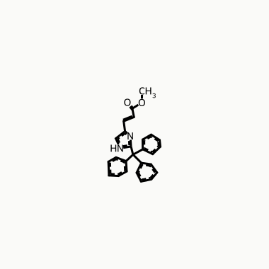 COC(=O)C=Cc1c[nH]c(C(c2ccccc2)(c2ccccc2)c2ccccc2)n1